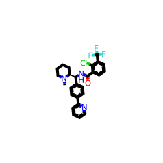 CN1CCCC[C@H]1C(NC(=O)c1cccc(C(F)(F)F)c1Cl)c1ccc(-c2ccccn2)cc1